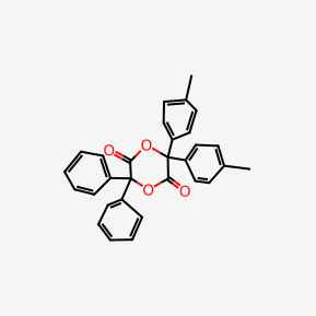 Cc1ccc(C2(c3ccc(C)cc3)OC(=O)C(c3ccccc3)(c3ccccc3)OC2=O)cc1